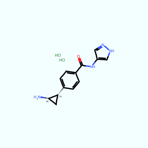 Cl.Cl.N[C@@H]1C[C@H]1c1ccc(C(=O)Nc2cn[nH]c2)cc1